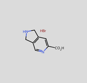 Br.O=C(O)c1cc2c(cn1)CNC2